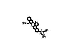 CC(C)c1nc(-c2ccc3cc4c5c(nccc5c3c2)-c2cc3ccccc3c(CC(C)(C)C)c2S4)nc(C(C)C)n1